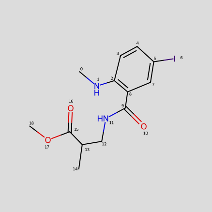 CNc1ccc(I)cc1C(=O)NCC(C)C(=O)OC